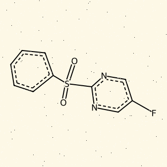 O=S(=O)(c1ccccc1)c1ncc(F)cn1